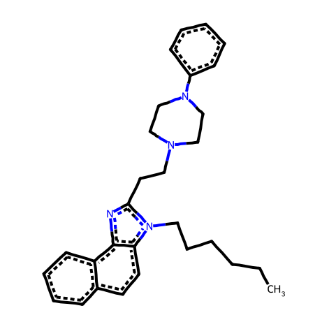 CCCCCCn1c(CCN2CCN(c3ccccc3)CC2)nc2c3ccccc3ccc21